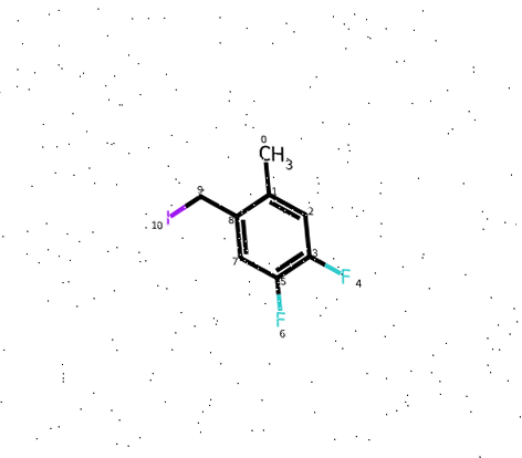 Cc1cc(F)c(F)cc1CI